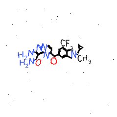 CC(C1CC1)N1Cc2cc(C(=O)c3ccn4nc(N)c(C(N)=O)c4n3)cc(C(F)(F)F)c2C1